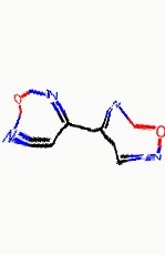 [c]1nonc1-c1cnon1